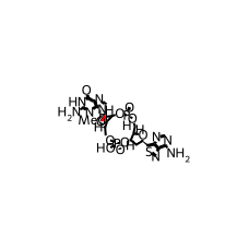 CO[C@H]1[C@H]2O[PH](=O)OC[C@H]3O[C@@H](c4snc5c(N)ncnc45)C[C@@H]3OP(=O)(O)OC[C@H]1O[C@H]2n1cnc2c(=O)[nH]c(N)nc21